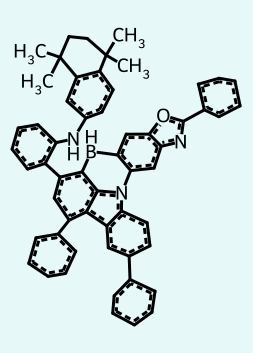 CC1(C)CCC(C)(C)c2cc(Nc3ccccc3-c3cc(-c4ccccc4)c4c5cc(-c6ccccc6)ccc5n5c4c3Bc3cc4oc(-c6ccccc6)nc4cc3-5)ccc21